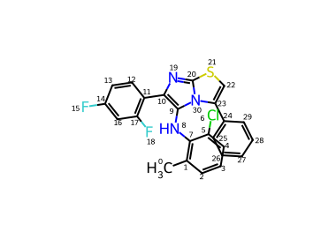 Cc1cccc(Cl)c1Nc1c(-c2ccc(F)cc2F)nc2scc(-c3ccccc3)n12